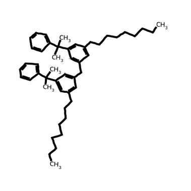 CCCCCCCCCc1cc(Cc2[c]c(C(C)(C)c3ccccc3)cc(CCCCCCCCC)c2)[c]c(C(C)(C)c2ccccc2)c1